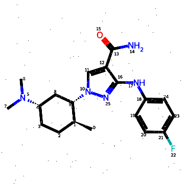 C[C@H]1CC[C@H](N(C)C)C[C@@H]1n1cc(C(N)=O)c(Nc2ccc(F)cc2)n1